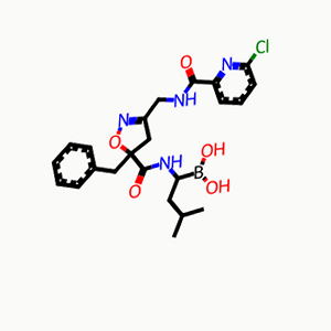 CC(C)CC(NC(=O)C1(Cc2ccccc2)CC(CNC(=O)c2cccc(Cl)n2)=NO1)B(O)O